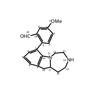 COc1ccc(-c2cccc3c2N2CCNCCC2C3)c(C=O)c1